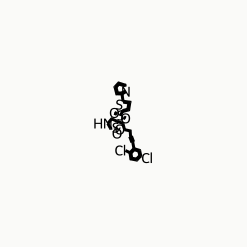 O=S1(=O)CNCC1(CCCC#Cc1cc(Cl)ccc1Cl)S(=O)(=O)c1ccc(-c2ccccn2)s1